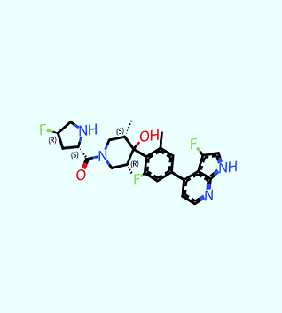 Cc1cc(-c2ccnc3[nH]cc(F)c23)cc(F)c1C1(O)[C@H](C)CN(C(=O)[C@@H]2C[C@@H](F)CN2)C[C@@H]1C